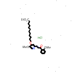 CCOC(=O)CCCCCCCCCCCOc1cc(/C=C/C(=O)c2ccccc2OC)ncc1OC.Cl